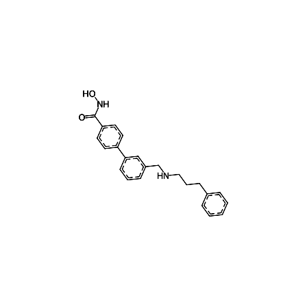 O=C(NO)c1ccc(-c2cccc(CNCCCc3ccccc3)c2)cc1